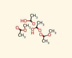 CC(=O)O.CC(=O)O.COC(C)=O.COC(C)=O